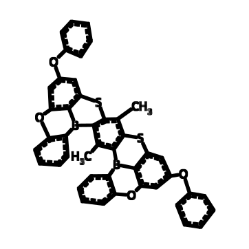 Cc1c2c(c(C)c3c1Sc1cc(Oc4ccccc4)cc4c1B3c1ccccc1O4)B1c3ccccc3Oc3cc(Oc4ccccc4)cc(c31)S2